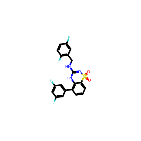 O=S1(=O)N=C(NCc2cc(F)ccc2F)Nc2c(-c3cc(F)cc(F)c3)cccc21